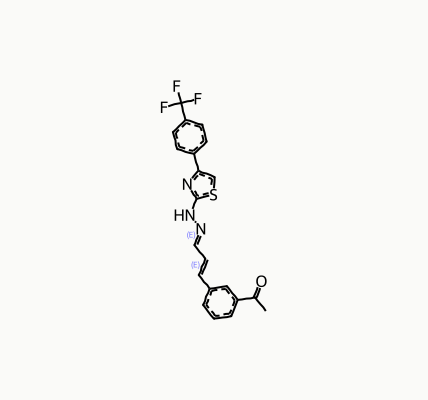 CC(=O)c1cccc(/C=C/C=N/Nc2nc(-c3ccc(C(F)(F)F)cc3)cs2)c1